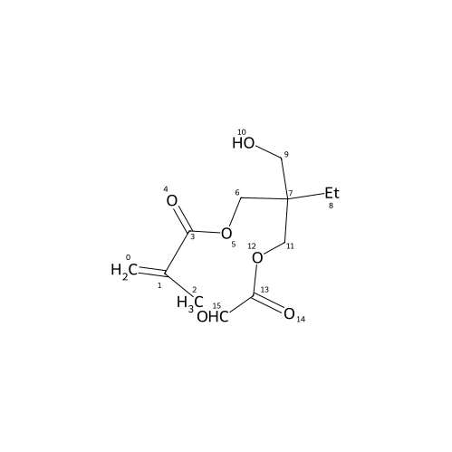 C=C(C)C(=O)OCC(CC)(CO)COC(=O)C=O